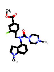 COC(=O)c1ccc(CN(C(=O)N2CCN(C)CC2)c2cccc3c2ccn3C)c(F)c1